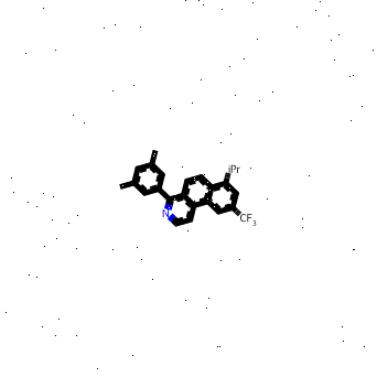 Cc1cc(C)cc(-c2nccc3c2ccc2c(C(C)C)cc(C(F)(F)F)cc23)c1